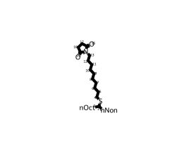 CCCCCCCCCC(CCCCCCCC)SCCCCCCCCCCN1C(=O)CCC1=O